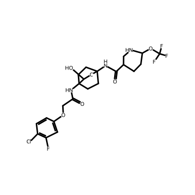 O=C(COc1ccc(Cl)c(F)c1)NC12CCC(NC(=O)C3CCC(OC(F)(F)F)NC3)(CC1)CC2O